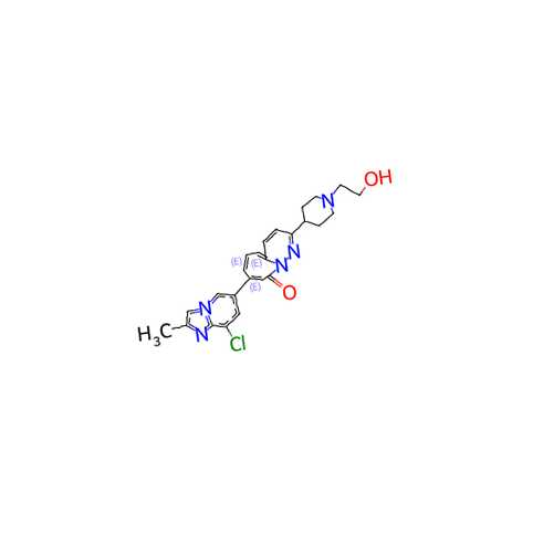 Cc1cn2cc(C3=C\C(=O)N4N=C(C5CCN(CCO)CC5)C=C\C4=C/C=C/3)cc(Cl)c2n1